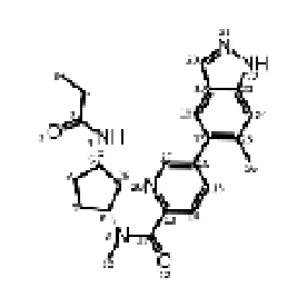 CCC(=O)N[C@H]1CC[C@@H](N(C)C(=O)c2ccc(-c3cc4cn[nH]c4cc3C)cn2)C1